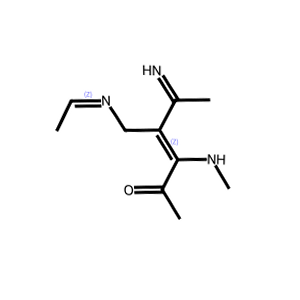 C/C=N\C/C(C(C)=N)=C(/NC)C(C)=O